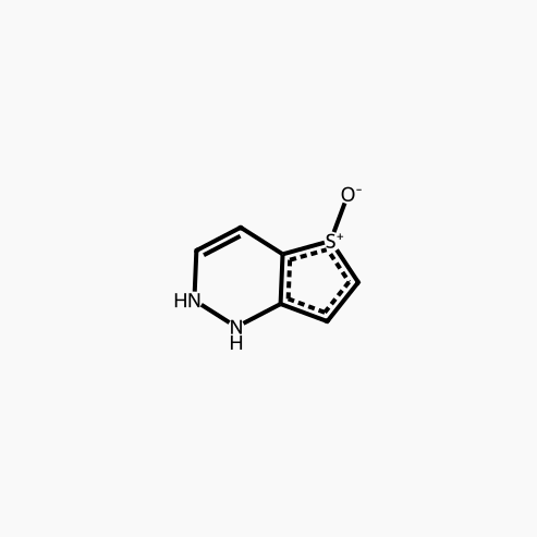 [O-][s+]1ccc2c1C=CNN2